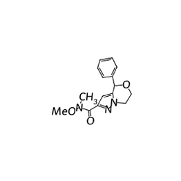 CON(C)C(=O)c1cc2n(n1)CCOC2c1ccccc1